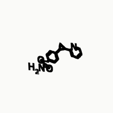 NS(=O)(=O)c1ccc(C2CC2c2ccccn2)cc1